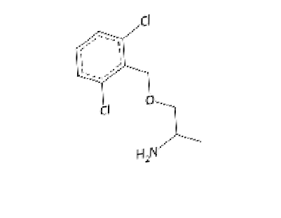 CC(N)COCc1c(Cl)cccc1Cl